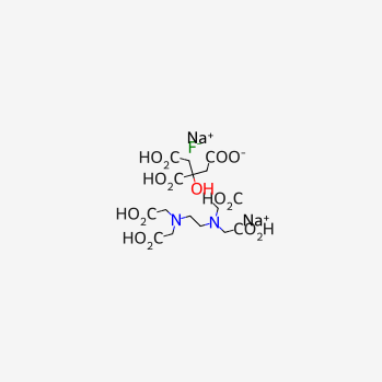 O=C(O)CN(CCN(CC(=O)O)CC(=O)O)CC(=O)O.O=C([O-])CC(O)(CC(=O)O)C(=O)O.[F-].[Na+].[Na+]